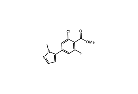 COC(=O)c1c(F)cc(-c2ccnn2C)cc1Cl